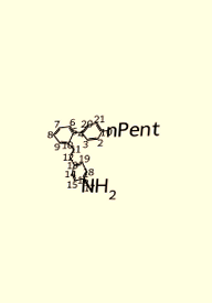 CCCCCc1ccc(-c2ccccc2CCc2ccc(N)cc2)cc1